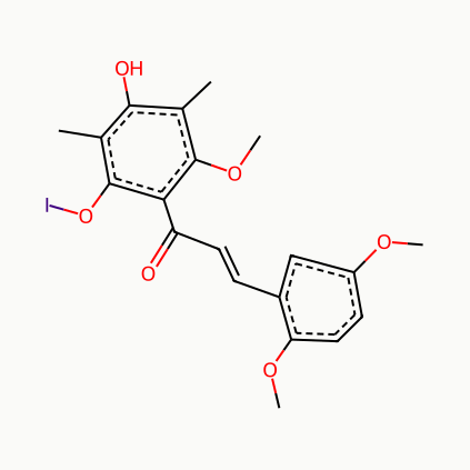 COc1ccc(OC)c(/C=C/C(=O)c2c(OC)c(C)c(O)c(C)c2OI)c1